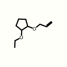 C=CCOC1CCCC1OCC